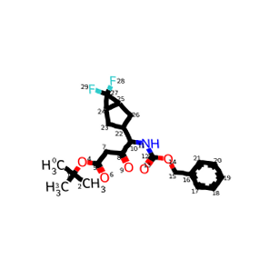 CC(C)(C)OC(=O)CC(=O)C(NC(=O)OCc1ccccc1)C1CC2C(C1)C2(F)F